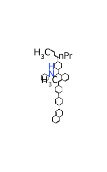 C/C=C\C=C(/CCC)C1CCC(C(CNC2CCCCC2)C2CCC=C/C2=C(/C)C2CC=C(C3C=CC(C4C=C5CCC=CC5CC4)CC3)CC2)CC1